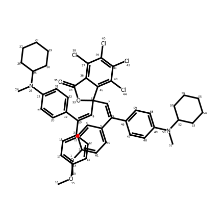 COc1ccc(C(=CC2(C=C(c3ccc(OC)cc3)c3ccc(N(C)C4CCCCC4)cc3)OC(=O)c3c(Cl)c(Cl)c(Cl)c(Cl)c32)c2ccc(N(C)C3CCCCC3)cc2)cc1